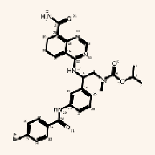 CC(C)OC(=O)N(C)CC(Nc1ncnc2c1=CCCC=2C(N)=O)c1cccc(NC(=O)c2ccc(Br)cc2)c1